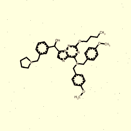 CCCCOc1nc(N(Cc2ccc(OC)cc2)Cc2ccc(OC)cc2)c2ncc(C(O)c3cccc(CN4CCCC4)c3)n2n1